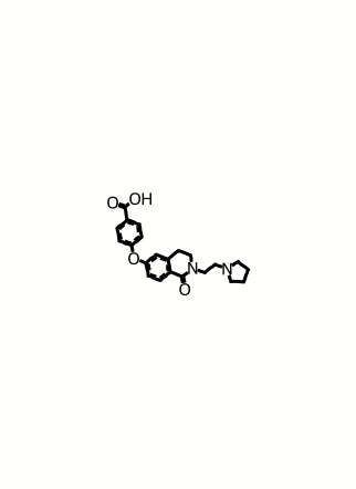 O=C(O)c1ccc(Oc2ccc3c(c2)CCN(CCN2CCCC2)C3=O)cc1